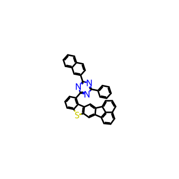 c1ccc(-c2nc(-c3ccc4ccccc4c3)nc(-c3cccc4sc5cc6c(cc5c34)-c3cccc4cccc-6c34)n2)cc1